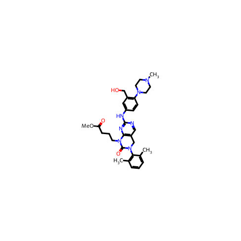 COC(=O)CCCN1C(=O)N(c2c(C)cccc2C)Cc2cnc(Nc3ccc(N4CCN(C)CC4)c(CO)c3)nc21